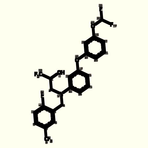 OC(CN(Cc1cc(C(F)(F)F)ccc1F)c1cccc(Oc2cccc(OC(F)F)c2)c1)C(F)(F)F